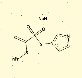 CCCSC(=O)S(=O)(=O)Sn1ccnc1.[NaH]